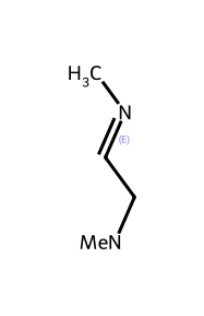 C/N=C/CNC